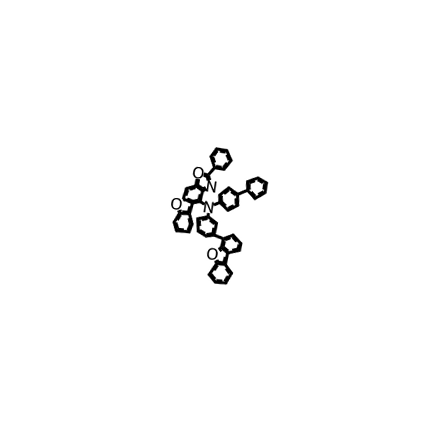 c1ccc(-c2ccc(N(c3cccc(-c4cccc5c4oc4ccccc45)c3)c3c4nc(-c5ccccc5)oc4cc4oc5ccccc5c34)cc2)cc1